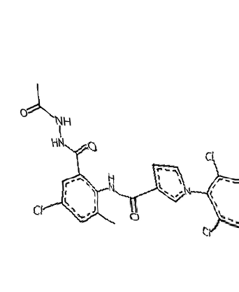 CC(=O)NNC(=O)c1cc(Cl)cc(C)c1NC(=O)c1ccn(-c2c(Cl)cccc2Cl)c1